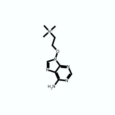 C[N+](C)(C)CCOn1cnc2c(N)ncnc21